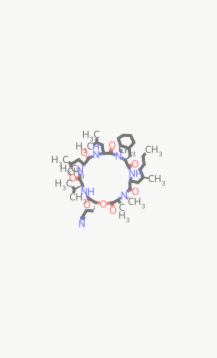 CCCC[C@@H](C)CC1NC(=O)[C@H](CC2CCCCC2)N(C)C(=O)C(CC(C)C)NC(=O)C(CC(C)C)N(C)C(=O)[C@H](C(C)C)NC(=O)[C@@H](CCC#N)OC(=O)C(C)N(C)C1=O